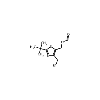 CC(C)(C)c1nc(CBr)c(COC=O)s1